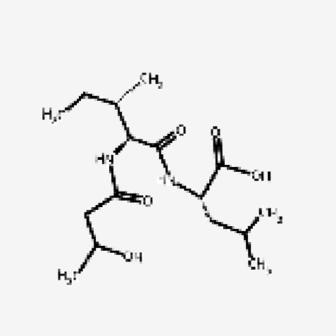 CC[C@H](C)[C@H](NC(=O)CC(C)O)C(=O)N[C@@H](CC(C)C)C(=O)O